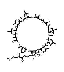 CC[C@@H]1NC(=O)[C@H]([C@H](O)[C@H](C)CCCC(=O)NCCN)N(C)C(=O)[C@H](C(C)C)N(C)C(O)[C@H](CC(C)C)N(C)C(=O)[C@H](CC(C)C)N(C)C(=O)[C@@H](C)NC(=O)[C@H](C)NC(=O)[C@H](CC(C)C)N(C)C(=O)[C@H](C(C)C)NC(=O)[C@H](CC(C)C)N(C)C(=O)CN(C)C1=O